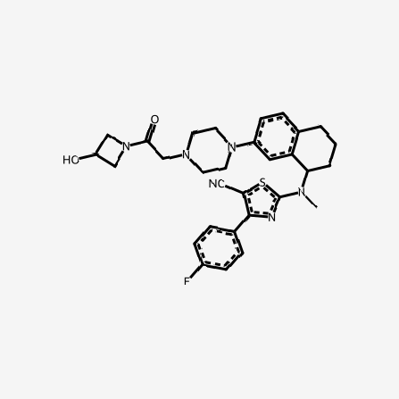 CN(c1nc(-c2ccc(F)cc2)c(C#N)s1)C1CCCc2ccc(N3CCN(CC(=O)N4CC(O)C4)CC3)cc21